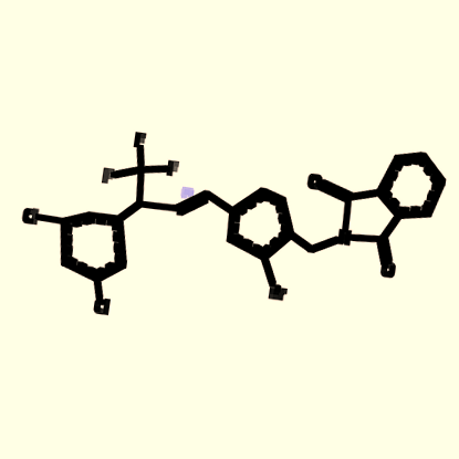 O=C1c2ccccc2C(=O)N1Cc1ccc(/C=C/C(c2cc(Cl)cc(Cl)c2)C(F)(F)F)cc1Br